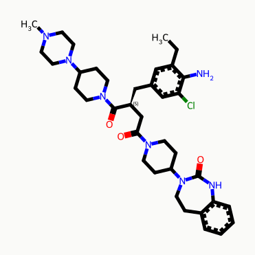 CCc1cc(C[C@@H](CC(=O)N2CCC(N3CCc4ccccc4NC3=O)CC2)C(=O)N2CCC(N3CCN(C)CC3)CC2)cc(Cl)c1N